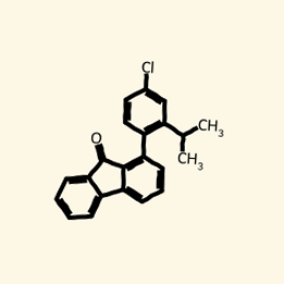 CC(C)c1cc(Cl)ccc1-c1cccc2c1C(=O)c1ccccc1-2